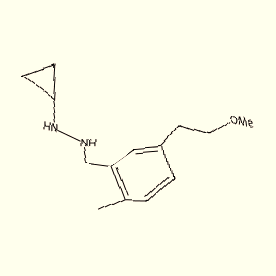 COCCc1ccc(C)c(CNNC2CC2)c1